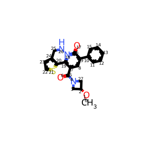 COC1CN(C(=O)c2cc(-c3ccccc3)c(=O)n3c2-c2sccc2CN3)C1